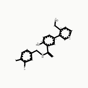 C=C(NCc1ccc(C)c(F)c1)c1cc(-c2cnccc2CN=O)ccc1O